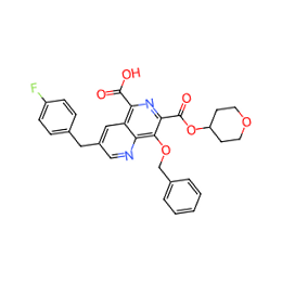 O=C(OC1CCOCC1)c1nc(C(=O)O)c2cc(Cc3ccc(F)cc3)cnc2c1OCc1ccccc1